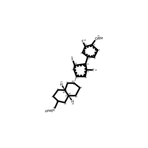 CCCCCCCC1CC[C@@H]2C[C@H](c3cc(F)c(-c4ccc(OC)c(F)c4)c(F)c3)CC[C@@H]2C1